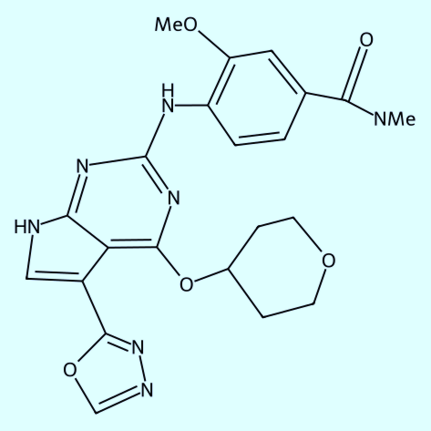 CNC(=O)c1ccc(Nc2nc(OC3CCOCC3)c3c(-c4nnco4)c[nH]c3n2)c(OC)c1